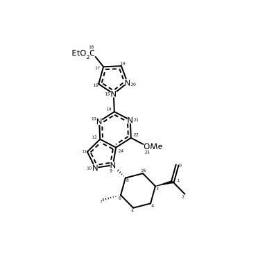 C=C(C)[C@H]1CC[C@H](C)[C@H](n2ncc3nc(-n4cc(C(=O)OCC)cn4)nc(OC)c32)C1